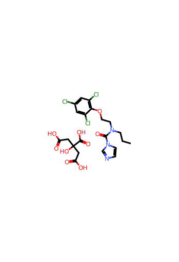 CCCN(CCOc1c(Cl)cc(Cl)cc1Cl)C(=O)n1ccnc1.O=C(O)CC(O)(CC(=O)O)C(=O)O